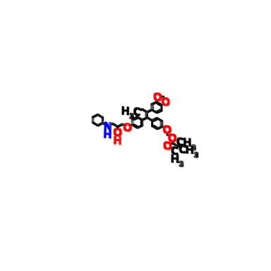 CCC(=C(c1ccc(OCOC(=O)C(C)(C)C)cc1)c1ccc(OCC(O)CNC2CCCCC2)cc1)c1ccc2c(c1)OCO2